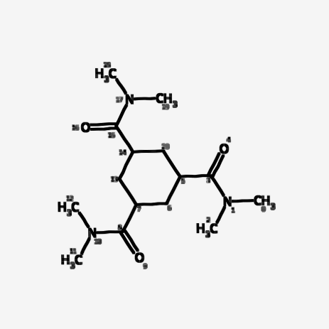 CN(C)C(=O)C1CC(C(=O)N(C)C)CC(C(=O)N(C)C)C1